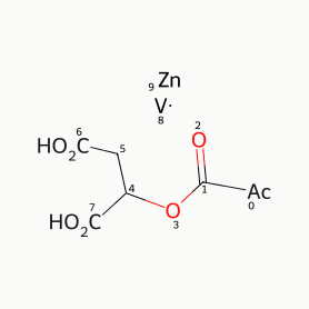 CC(=O)C(=O)OC(CC(=O)O)C(=O)O.[V].[Zn]